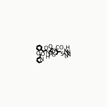 Cn1nnnc1SCC1=C(C(=O)O)N2C(=O)C(NC(=O)C(OC(=O)c3ccccn3)c3ccccc3)[C@@H]2SC1